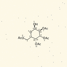 CC(=O)OCC1O[C@@H](O)[C@@H](OC(C)=O)C(OC(C)=O)[C@@H]1OC(C)=O